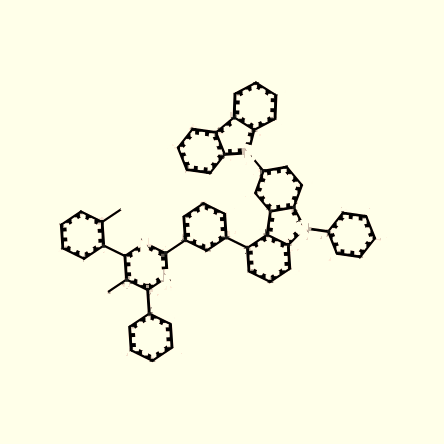 Cc1ccccc1-c1nc(-c2cccc(-c3cccc4c3c3cc(-n5c6ccccc6c6ccccc65)ccc3n4-c3ccccc3)c2)nc(-c2ccccc2)c1C